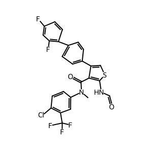 CN(C(=O)c1c(-c2ccc(-c3ccc(F)cc3F)cc2)csc1NC=O)c1ccc(Cl)c(C(F)(F)F)c1